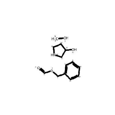 CO.O=COCc1ccccc1.OC1CCNC1